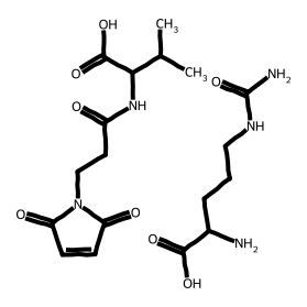 CC(C)C(NC(=O)CCN1C(=O)C=CC1=O)C(=O)O.NC(=O)NCCCC(N)C(=O)O